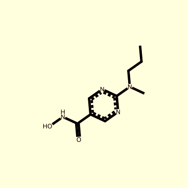 CCCN(C)c1ncc(C(=O)NO)cn1